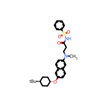 CN(CCC(=O)NS(=O)(=O)c1ccccc1)c1ccc2cc(O[C@H]3CC[C@H](C(C)(C)C)CC3)ccc2c1